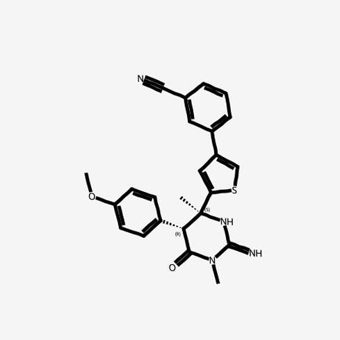 COc1ccc([C@H]2C(=O)N(C)C(=N)N[C@]2(C)c2cc(-c3cccc(C#N)c3)cs2)cc1